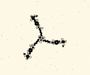 CCOc1c(NCc2ccc(OC(=O)NCCCCCCn3c(=O)n(CCCCCCNC(=O)Oc4ccc(CNc5c(OCC)c(=O)c5=O)cc4)c(=O)n(CCCCCCNC(=O)Oc4ccc(CNc5c(OCC)c(=O)c5=O)cc4)c3=O)cc2)c(=O)c1=O